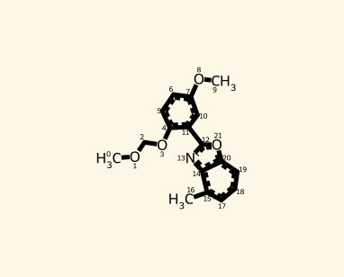 COCOc1ccc(OC)cc1-c1nc2c(C)cccc2o1